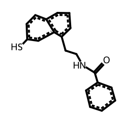 O=C(NCCc1cccc2ccc(S)cc12)c1ccccc1